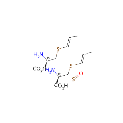 CC=CSC[C@H](N)C(=O)O.CC=CSC[C@H](N)C(=O)O.O=S